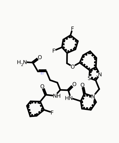 NC(=O)/C=C/CCC(NC(=O)c1ccccc1F)C(=O)Nc1cccn(Cc2nc3cccc(OCc4ccc(F)cc4F)c3s2)c1=O